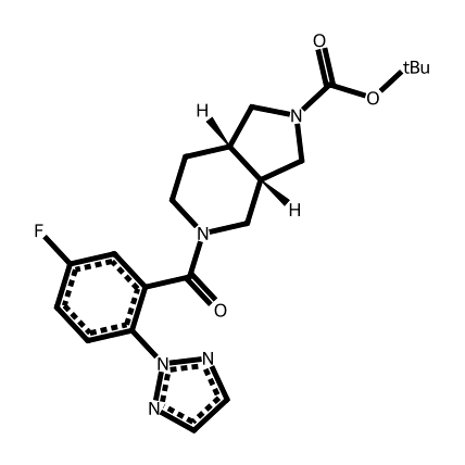 CC(C)(C)OC(=O)N1C[C@H]2CCN(C(=O)c3cc(F)ccc3-n3nccn3)C[C@H]2C1